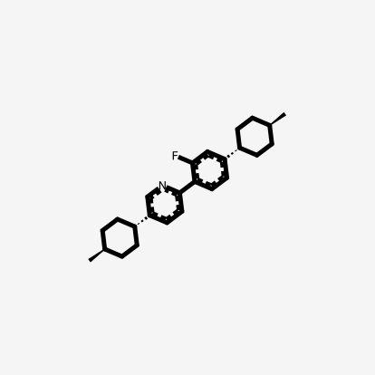 C[C@H]1CC[C@H](c2ccc(-c3ccc([C@H]4CC[C@H](C)CC4)cc3F)nc2)CC1